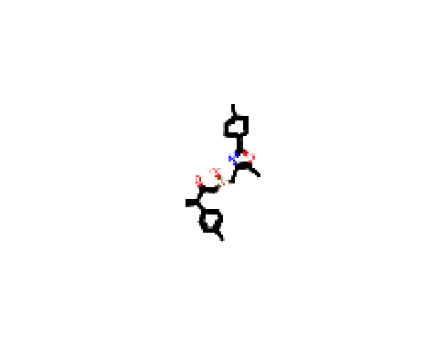 C=C(C(=O)C[S+]([O-])Cc1nc(-c2ccc(C)cc2)oc1C)c1ccc(C)cc1